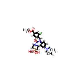 CCN(CC)c1ccc(N(Cc2ccc(C(=O)OC)cc2F)C(=O)N2CCS(O)(O)CC2)cc1